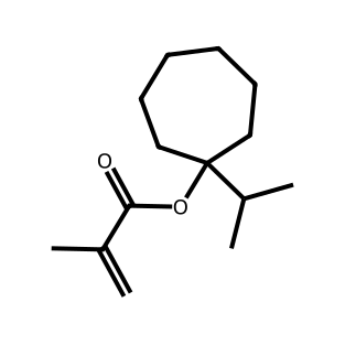 C=C(C)C(=O)OC1(C(C)C)CCCCCC1